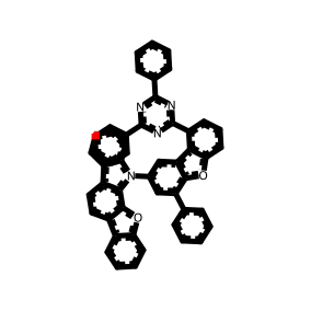 c1ccc(-c2nc(-c3ccccc3)nc(-c3cccc4oc5c(-c6ccccc6)cc(-n6c7ccccc7c7ccc8c9ccccc9oc8c76)cc5c34)n2)cc1